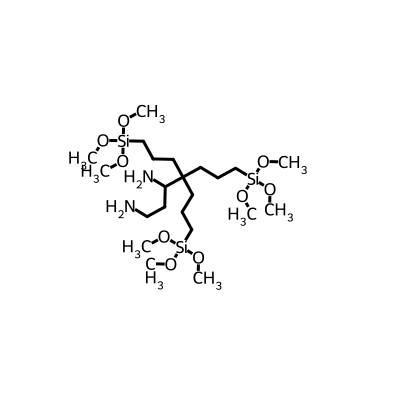 CO[Si](CCCC(CCC[Si](OC)(OC)OC)(CCC[Si](OC)(OC)OC)C(N)CCN)(OC)OC